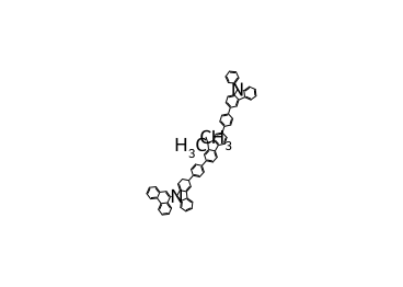 CC1(C)c2cc(-c3ccc(-c4ccc5c(c4)c4ccccc4n5-c4ccccc4)cc3)ccc2-c2ccc(-c3ccc(C4C=c5c(n(-c6cc7ccccc7c7ccccc67)c6ccccc56)=CC4)cc3)cc21